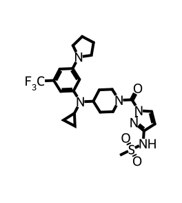 CS(=O)(=O)Nc1ccn(C(=O)N2CCC(N(c3cc(N4CCCC4)cc(C(F)(F)F)c3)C3CC3)CC2)n1